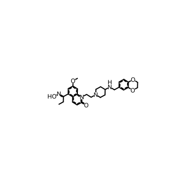 CC/C(=N\O)c1cc(OC)cc2c1ccc(=O)n2CCN1CCC(NCc2ccc3c(c2)OCCO3)CC1